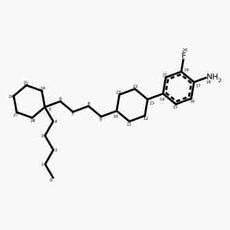 CCCCCC1(CCCCC2CCC(c3ccc(N)c(F)c3)CC2)CCCCC1